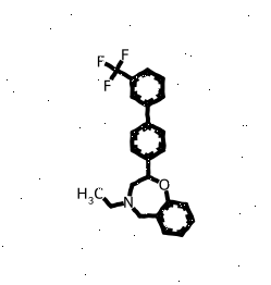 CCN1Cc2ccccc2OC(c2ccc(-c3cccc(C(F)(F)F)c3)cc2)C1